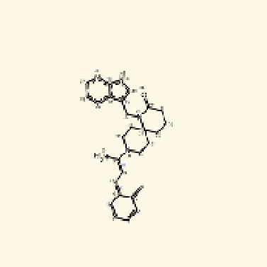 C=C1C=CC=C/C1=N/C=C(\N)N1CCC2(CCCC(=O)N2Cc2c[nH]c3ncccc23)CC1